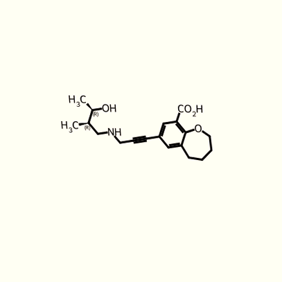 C[C@H](CNCC#Cc1cc2c(c(C(=O)O)c1)OCCCC2)[C@@H](C)O